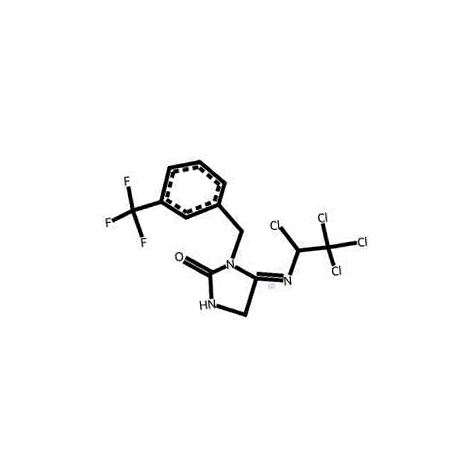 O=C1NC/C(=N/C(Cl)C(Cl)(Cl)Cl)N1Cc1cccc(C(F)(F)F)c1